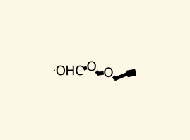 C#CCOCO[C]=O